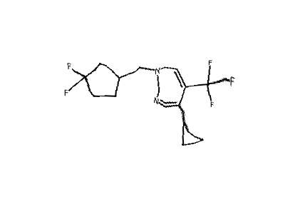 FC1(F)CCC(Cn2cc(C(F)(F)F)c(C3CC3)n2)C1